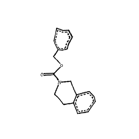 O=C(OCc1ccccc1)N1CCc2ccccc2C1